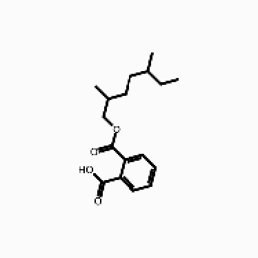 CCC(C)CCC(C)COC(=O)c1ccccc1C(=O)O